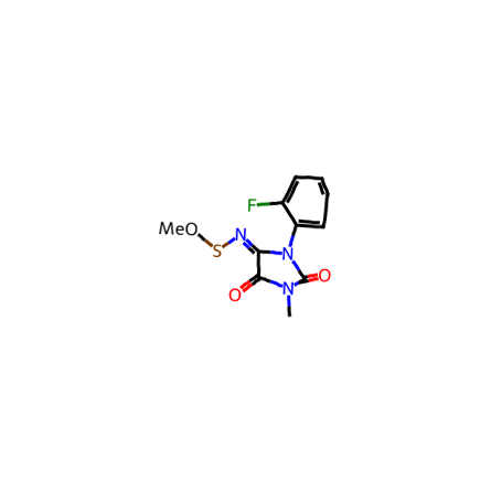 COSN=C1C(=O)N(C)C(=O)N1c1ccccc1F